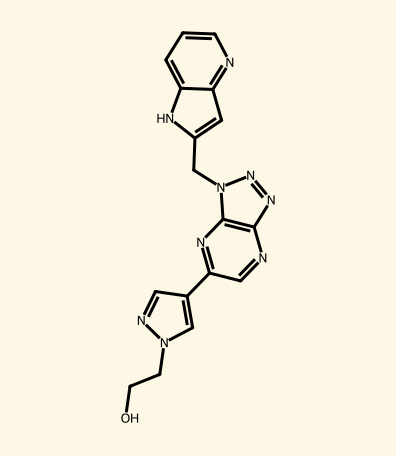 OCCn1cc(-c2cnc3nnn(Cc4cc5ncccc5[nH]4)c3n2)cn1